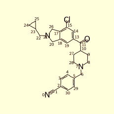 N#Cc1ccc(CN2CCC(C(=O)c3cc(Cl)c4c(c3)CN(CC3CC3)C4)CC2)cc1